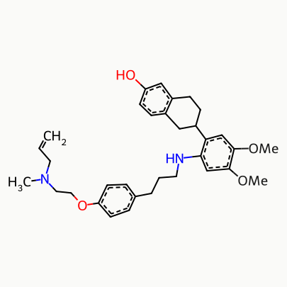 C=CCN(C)CCOc1ccc(CCCNc2cc(OC)c(OC)cc2C2CCc3cc(O)ccc3C2)cc1